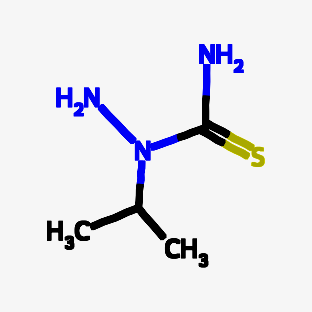 CC(C)N(N)C(N)=S